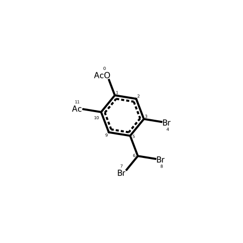 CC(=O)Oc1cc(Br)c(C(Br)Br)cc1C(C)=O